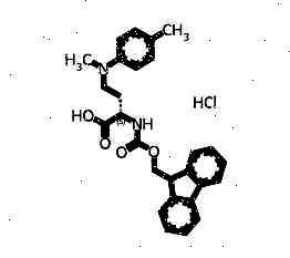 Cc1ccc(N(C)CC[C@H](NC(=O)OCC2c3ccccc3-c3ccccc32)C(=O)O)cc1.Cl